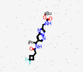 CC(C)C(NC(=O)CC1CC(F)(F)C1)c1cnn2cc(CNC(=O)OC(C)(C)C)nc2c1